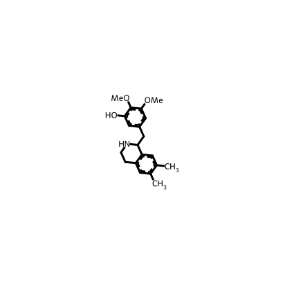 COc1cc(CC2NCCc3cc(C)c(C)cc32)cc(O)c1OC